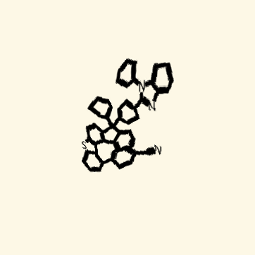 N#Cc1ccc(-c2cccc3sc4ccc5c(c4c23)-c2ccccc2C5(c2ccccc2)c2ccc(-c3nc4ccccc4n3-c3ccccc3)cc2)cc1